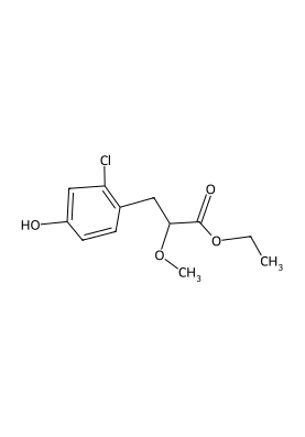 CCOC(=O)C(Cc1ccc(O)cc1Cl)OC